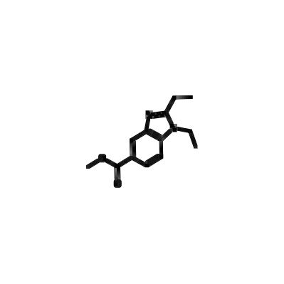 CCc1nc2cc(C(=O)OC)ccc2n1CC